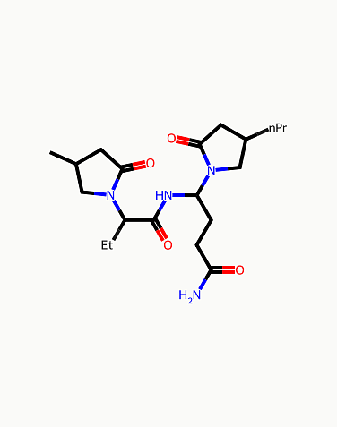 CCCC1CC(=O)N(C(CCC(N)=O)NC(=O)C(CC)N2CC(C)CC2=O)C1